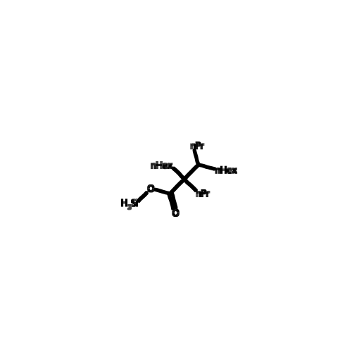 CCCCCCC(CCC)C(CCC)(CCCCCC)C(=O)O[SiH3]